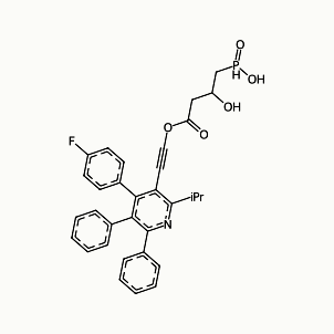 CC(C)c1nc(-c2ccccc2)c(-c2ccccc2)c(-c2ccc(F)cc2)c1C#COC(=O)CC(O)C[PH](=O)O